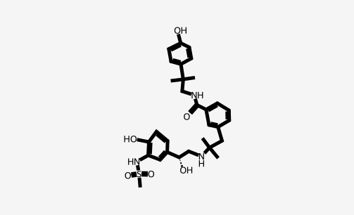 CC(C)(Cc1cccc(C(=O)NCC(C)(C)c2ccc(O)cc2)c1)NC[C@H](O)c1ccc(O)c(NS(C)(=O)=O)c1